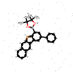 CC1(C)OB(c2cc(-c3ccccc3)cc3c2sc2cc4ccccc4cc23)OC1(C)C